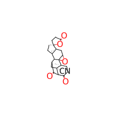 C[C@]12CCC(=O)C3C(=O)C(C[C@]31C#N)C1C3CC[C@@]4(CCC(=O)O4)[C@@]3(C)CC3O[C@]312